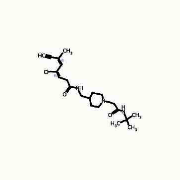 C#C/C(C)=C\C(Cl)=C/CC(=O)NCC1CCN(CC(=O)NC(C)(C)C)CC1